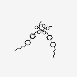 CCCCC[C@H]1CC[C@H](c2ccc(CO[C@@H](C(=O)OCC)[C@@H](OCc3ccc([C@H]4CC[C@H](CCCCC)CC4)cc3)C(=O)OCC)cc2)CC1